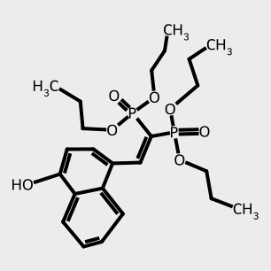 CCCOP(=O)(OCCC)C(=Cc1ccc(O)c2ccccc12)P(=O)(OCCC)OCCC